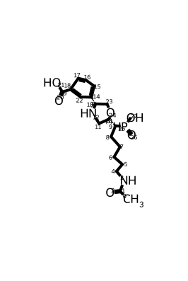 CC(=O)NCCCCCC([C@@H]1CN[C@H](c2cccc(C(=O)O)c2)CO1)[PH](=O)O